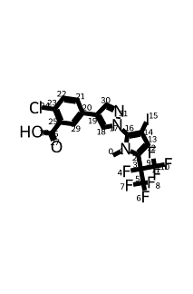 Cn1c(C(F)(C(F)(F)F)C(F)(F)F)cc(I)c1-n1cc(-c2ccc(Cl)c(C(=O)O)c2)cn1